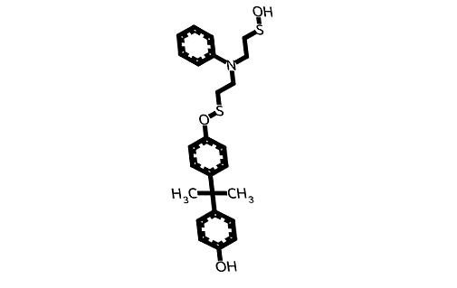 CC(C)(c1ccc(O)cc1)c1ccc(OSCCN(CCSO)c2ccccc2)cc1